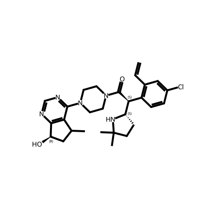 C=Cc1cc(Cl)ccc1[C@H](C(=O)N1CCN(c2ncnc3c2C(C)C[C@H]3O)CC1)[C@@H]1CCC(C)(C)N1